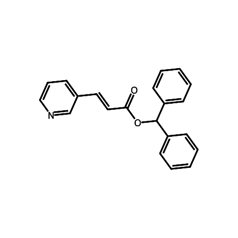 O=C(/C=C/c1cccnc1)OC(c1ccccc1)c1ccccc1